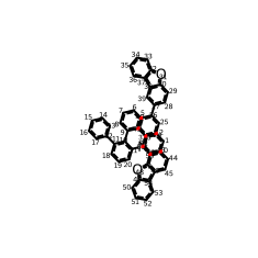 c1ccc(-c2ccccc2-c2c(-c3ccccc3)cccc2N(c2ccc(-c3ccc4oc5ccccc5c4c3)cc2)c2cccc3c2oc2ccccc23)cc1